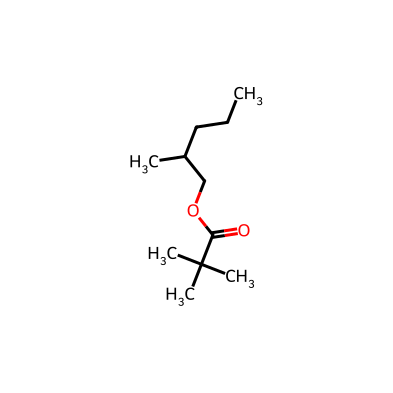 CCCC(C)COC(=O)C(C)(C)C